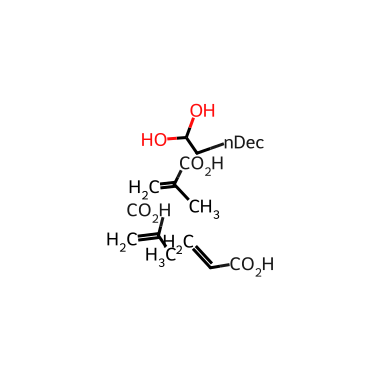 C=C(C)C(=O)O.C=C(C)C(=O)O.C=CC(=O)O.CCCCCCCCCCCC(O)O